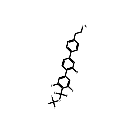 CCCc1ccc(-c2ccc(-c3cc(F)c(C(F)(F)OC(F)(F)F)c(F)c3)c(F)c2)cc1